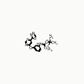 CC(C)(C)OC(=O)Nc1cccc(Oc2cc(-c3nnco3)ncn2)c1